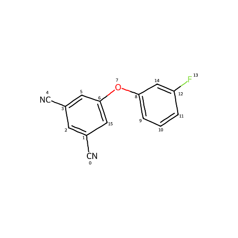 N#Cc1cc(C#N)cc(Oc2cccc(F)c2)c1